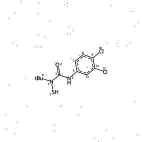 CC(C)(C)N(S)C(=O)Nc1ccc(Cl)c(Cl)c1